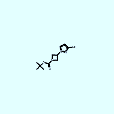 CC(C)(C)OC(=O)N1CC(n2ccc(N)n2)C1